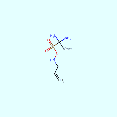 C=CCNOS(=O)(=O)C(N)(N)CCCCC